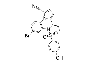 CC[C@@H]1c2ccc(C#N)n2-c2ccc(Br)cc2N1S(=O)(=O)c1ccc(O)cc1